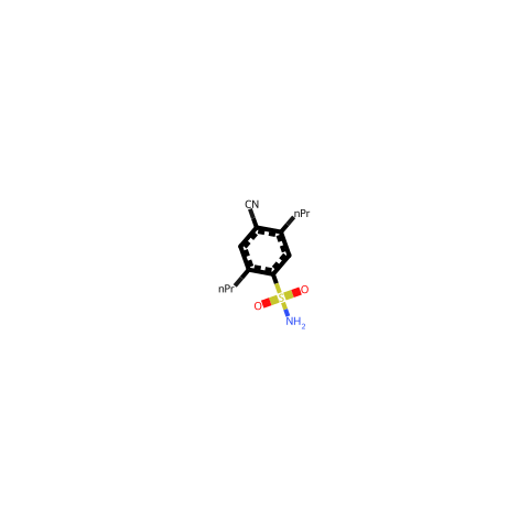 CCCc1cc(S(N)(=O)=O)c(CCC)cc1C#N